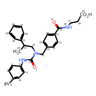 CC(C)c1ccc(NC(=O)N(Cc2ccc(C(=O)NCCC(=O)O)cc2)CC(C)c2ccccc2)cc1